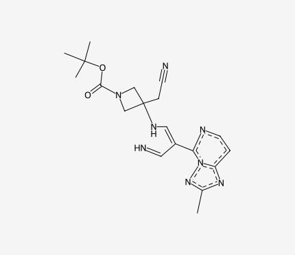 Cc1nc2ccnc(/C(C=N)=C/NC3(CC#N)CN(C(=O)OC(C)(C)C)C3)n2n1